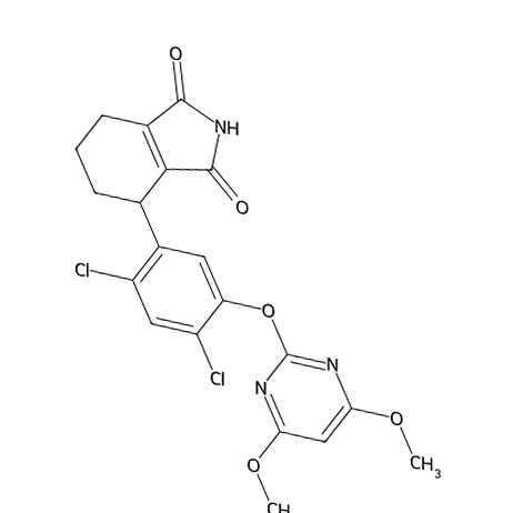 COc1cc(OC)nc(Oc2cc(C3CCCC4=C3C(=O)NC4=O)c(Cl)cc2Cl)n1